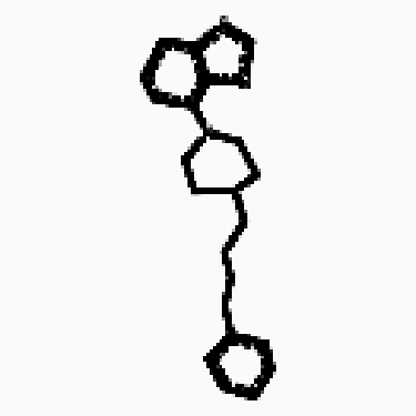 c1ccc(CCCCC2CCN(c3cccc4scnc34)CC2)cc1